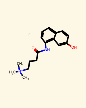 C[N+](C)(C)CCCC(=O)Nc1cccc2ccc(O)cc12.[Cl-]